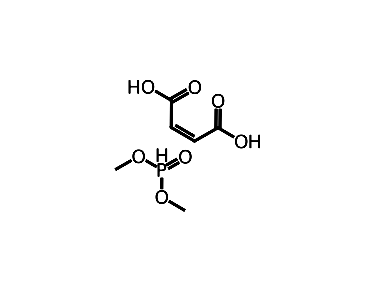 CO[PH](=O)OC.O=C(O)/C=C\C(=O)O